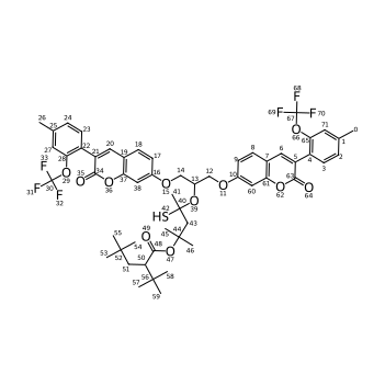 Cc1ccc(-c2cc3ccc(OCC(COc4ccc5cc(-c6ccc(C)cc6OC(F)(F)F)c(=O)oc5c4)OC(C)(S)CC(C)(C)OC(=O)C(CC(C)(C)C)C(C)(C)C)cc3oc2=O)c(OC(F)(F)F)c1